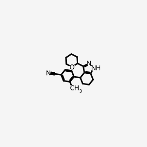 Cc1cc(C#N)ccc1C1CCCc2[nH]nc(C3CCCCO3)c21